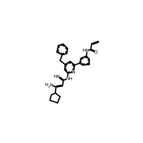 C=CC(=O)Nc1cccc(-c2cc(Cc3ccccc3)cc(NC(=N)/C=C(\N)C3CCCC3)n2)c1